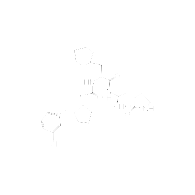 O=C[C@H](C[C@@H]1CCNC1=O)NC(=O)[C@H](CC1CCCCC1)NC(=O)O[C@@H]1CCC[C@@H]1Cc1cccc(Cl)c1